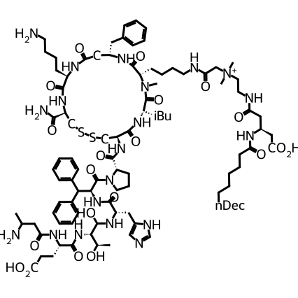 CCCCCCCCCCCCCCCC(=O)N[C@H](CC(=O)O)CC(=O)NCC[N+](C)(C)CC(=O)NCCCC[C@H]1C(=O)N[C@@H](Cc2ccccc2)CC(=O)N[C@H](CCCCN)C(=O)N[C@H](C(N)=O)CSSC[C@H](NC(=O)[C@@H]2CCCN2C(=O)[C@@H](NC(=O)[C@H](Cc2cnc[nH]2)NC(O)[C@@H](NC(=O)[C@H](CCC(=O)O)NC(=O)CC(C)N)[C@@H](C)O)C(c2ccccc2)c2ccccc2)C(=O)N[C@@H]([C@@H](C)CC)C(=O)N1C